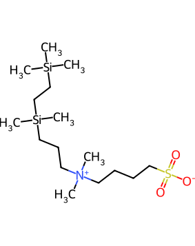 C[N+](C)(CCCCS(=O)(=O)[O-])CCC[Si](C)(C)CC[Si](C)(C)C